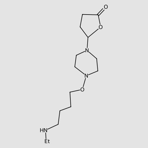 CCNCCCCON1CCN(C2CCC(=O)O2)CC1